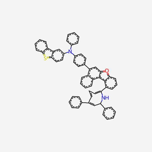 C1=C/C(c2ccccc2)=C\C(c2ccccc2)N/C(c2cccc3oc4cc(-c5ccc(N(c6ccccc6)c6ccc7sc8ccccc8c7c6)cc5)c5ccccc5c4c23)=C/1